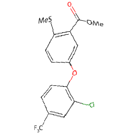 COC(=O)c1cc(Oc2ccc(C(F)(F)F)cc2Cl)ccc1SC